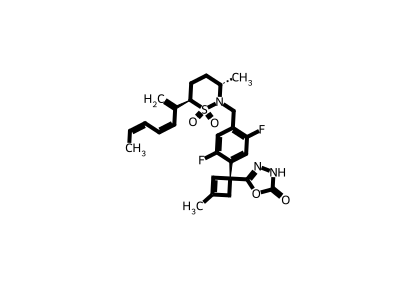 C=C(/C=C\C=C/C)[C@H]1CC[C@H](C)N(Cc2cc(F)c([C@]3(c4n[nH]c(=O)o4)C=C(C)C3)cc2F)S1(=O)=O